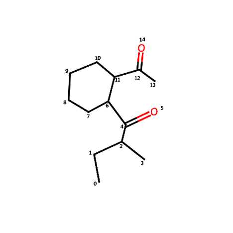 CCC(C)C(=O)C1CCCCC1C(C)=O